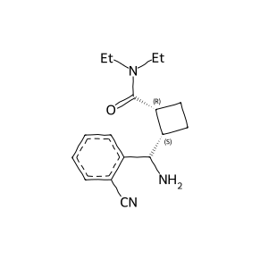 CCN(CC)C(=O)[C@@H]1CC[C@@H]1C(N)c1ccccc1C#N